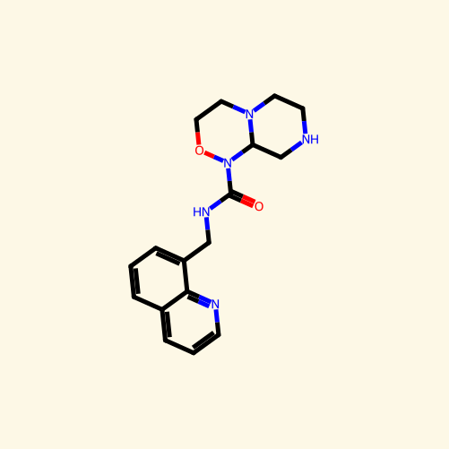 O=C(NCc1cccc2cccnc12)N1OCCN2CCNCC21